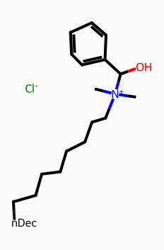 CCCCCCCCCCCCCCCCCC[N+](C)(C)C(O)c1ccccc1.[Cl-]